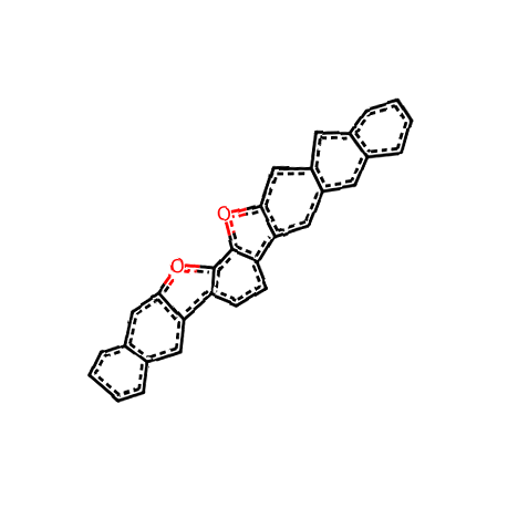 c1ccc2cc3cc4c(cc3cc2c1)oc1c4ccc2c3cc4ccccc4cc3oc21